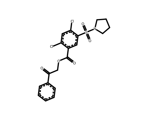 O=C(COC(=O)c1cc(S(=O)(=O)N2CCCC2)c(Cl)cc1Cl)c1ccccc1